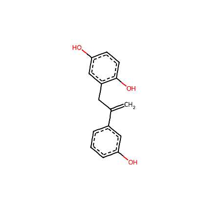 C=C(Cc1cc(O)ccc1O)c1cccc(O)c1